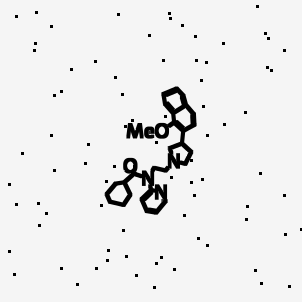 COc1c(C2CCN(CCN(C(=O)C3CCCCC3)c3ccccn3)C2)ccc2ccccc12